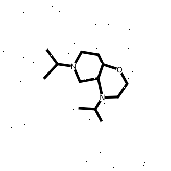 CC(C)N1CCC2OCCN(C(C)C)C2C1